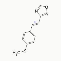 CSc1ccc(/C=C/c2ncon2)cc1